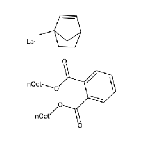 CC12C=CC(CC1)C2.CCCCCCCCOC(=O)c1ccccc1C(=O)OCCCCCCCC.[La]